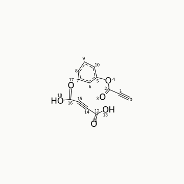 C#CC(=O)Oc1ccccc1.O=C(O)C#CC(=O)O